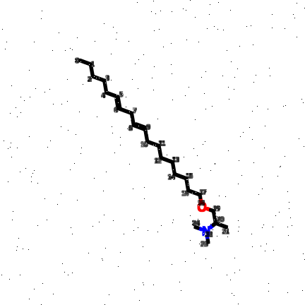 CCCCCC=CCC=CCCCCCCCCOCC(C)N(C)C